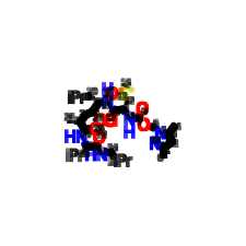 Cc1cc(C)n(COC(=O)N[C@@H](C[S+](C)[O-])C(=O)N[C@@H](CC(C)C)[C@@H](O)C[C@@H](C)C(=O)N[C@H](C(=O)NCC(C)C)C(C)C)n1